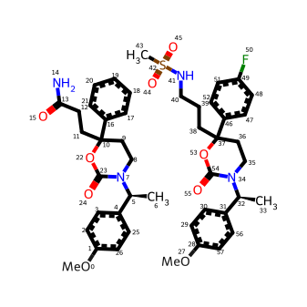 COc1ccc([C@H](C)N2CCC(CCC(N)=O)(c3ccccc3)OC2=O)cc1.COc1ccc([C@H](C)N2CCC(CCCNS(C)(=O)=O)(c3ccc(F)cc3)OC2=O)cc1